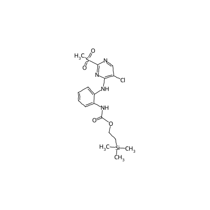 C[Si](C)(C)CCOC(=O)Nc1ccccc1Nc1nc(S(C)(=O)=O)ncc1Cl